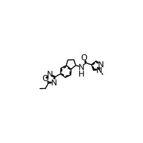 CCc1nc(-c2ccc3c(c2)CCC3NC(=O)c2cnn(C)c2)no1